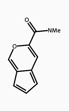 CNC(=O)c1cc2cccc-2co1